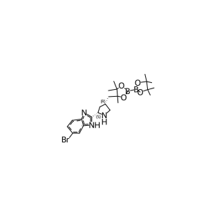 CC1(C)OB(B2OC(C)(C)C(C)(C[C@@H]3CN[C@H](c4nc5ccc(Br)cc5[nH]4)C3)O2)OC1(C)C